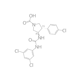 O=C(Nc1cc(Cl)cc(Cl)c1)N[C@H]1CN(C(=O)O)C[C@@H]1c1ccc(Cl)cc1